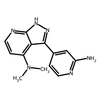 CN(C)c1ccnc2[nH]nc(-c3ccnc(N)c3)c12